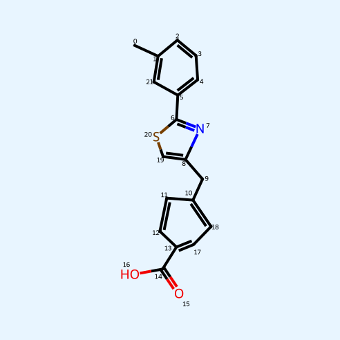 Cc1cccc(-c2nc(Cc3ccc(C(=O)O)cc3)cs2)c1